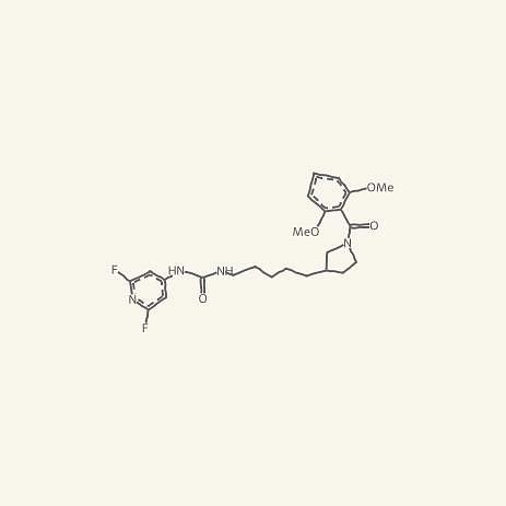 COc1cccc(OC)c1C(=O)N1CCC(CCCCCNC(=O)Nc2cc(F)nc(F)c2)C1